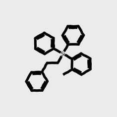 Cc1ccccc1[Si](CCc1ccccc1)(c1ccccc1)c1ccccc1